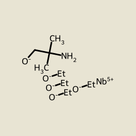 CC(C)(N)C[O-].CC[O-].CC[O-].CC[O-].CC[O-].[Nb+5]